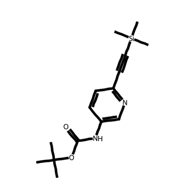 CC(C)(C)OC(=O)Nc1ccc(C#C[Si](C)(C)C)nc1